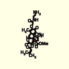 COC(=O)[C@@]12C[C@H](O)C3[C@@]4(C)CC(=O)C(OCC(=O)NCCN)=C(C)C4C[C@H]4OC(=O)[C@H](OC(=O)C=C(C)C)[C@@H]1[C@@]34CO2